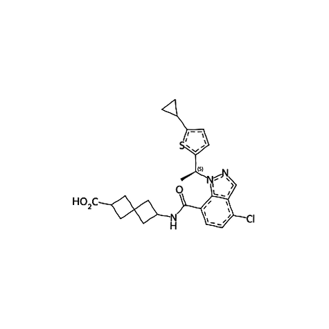 C[C@@H](c1ccc(C2CC2)s1)n1ncc2c(Cl)ccc(C(=O)NC3CC4(C3)CC(C(=O)O)C4)c21